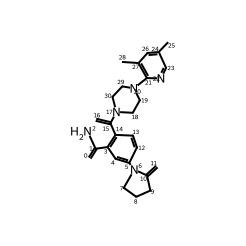 C=C(N)c1cc(N2CCCC2=C)ccc1C(=C)N1CCN(c2ncc(C)cc2C)CC1